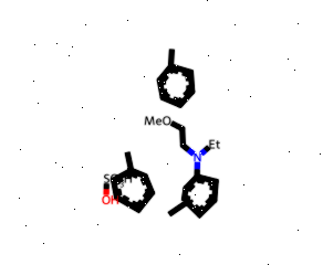 CCN(CCOC)c1cccc(C)c1.Cc1ccccc1.Cc1ccccc1.O=S(=O)(O)O